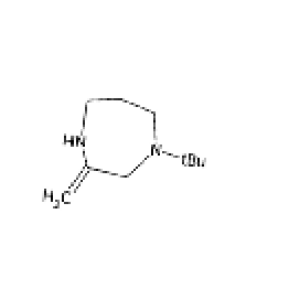 C=C1CN(C(C)(C)C)CCCN1